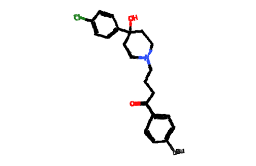 CCCCc1ccc(C(=O)CCCN2CCC(O)(c3ccc(Cl)cc3)CC2)cc1